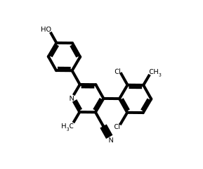 Cc1ccc(Cl)c(-c2cc(-c3ccc(O)cc3)nc(C)c2C#N)c1Cl